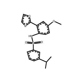 COc1ccc(NS(=O)(=O)c2cccc(C(C)C)c2)c(-c2ncco2)c1